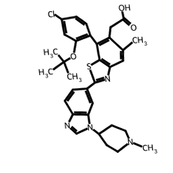 Cc1cc2nc(-c3ccc4ncn(C5CCN(C)CC5)c4c3)sc2c(-c2ccc(Cl)cc2OC(C)(C)C)c1CC(=O)O